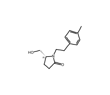 Cc1ccc(CCN2C(=O)CC[C@@H]2CO)cc1